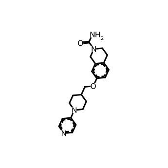 NC(=O)N1CCc2ccc(OCC3CCN(c4ccncc4)CC3)cc2C1